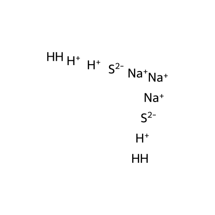 [H+].[H+].[H+].[HH].[HH].[Na+].[Na+].[Na+].[S-2].[S-2]